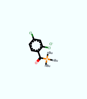 CCCC[P+](CCCC)(CCCC)C(=O)c1ccc(Cl)cc1Cl.[Cl-]